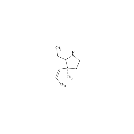 C/C=C\[C@]1(C)CCNC1CC